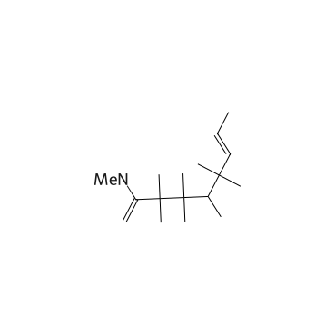 C=C(NC)C(C)(C)C(C)(C)C(C)C(C)(C)C=CC